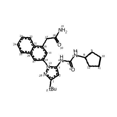 CC(C)(C)c1cc(NC(=O)NC2CCCC2)n(-c2cc(CC(N)=O)c3ccccc3c2)n1